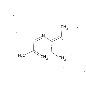 C=C(C)/C=N\C(=C/C)CC